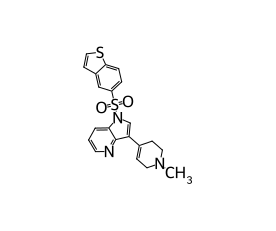 CN1CC=C(c2cn(S(=O)(=O)c3ccc4sccc4c3)c3cccnc23)CC1